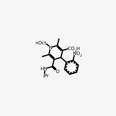 CCCCCCCCN1C(C)=C(C(=O)O)C(c2ccccc2[N+](=O)[O-])C(C(=O)NC(C)C)=C1C